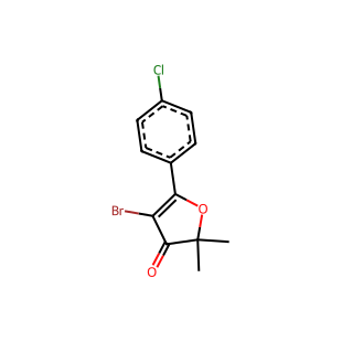 CC1(C)OC(c2ccc(Cl)cc2)=C(Br)C1=O